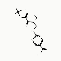 CC[C@@H](CNc1ncc(C(C)=O)cn1)C(=N)C(=O)OC(C)(C)C